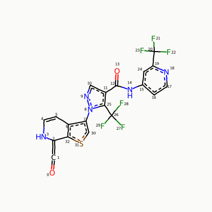 O=C=C1NC=Cc2c(-n3ncc(C(=O)Nc4ccnc(C(F)(F)F)c4)c3C(F)(F)F)csc21